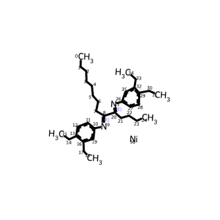 CCCCCCCCC(=N\c1ccc(CC)c(CC)c1)/C(CCCC)=N/c1ccc(CC)c(CC)c1.[Ni]